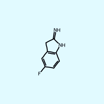 N=C1Cc2cc(F)ccc2N1